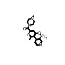 Cc1nc(C(=O)N2CCN(C)CC2)cc(Cl)c1-c1ccncc1N